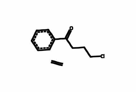 C=C.O=C(CCCCl)c1ccccc1